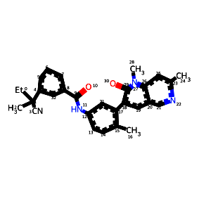 CCC(C)(C#N)c1cccc(C(=O)Nc2ccc(C)c(-c3cc4cnc(C)cc4n(C)c3=O)c2)c1